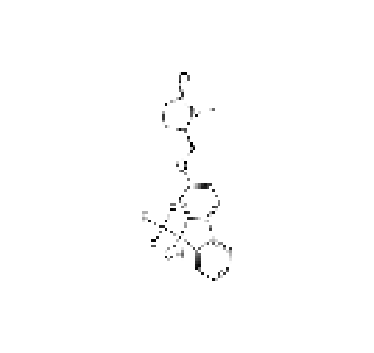 CN1C(=O)CC[C@@H]1COc1ccc2c(c1)C(O)(C(F)(F)F)c1ccccc1-2